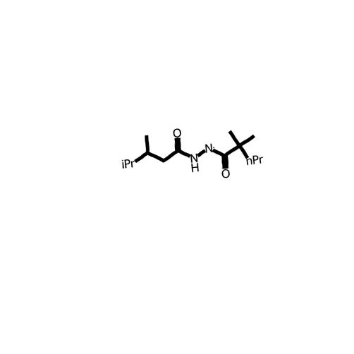 CCCC(C)(C)C(=O)[N]NC(=O)CC(C)C(C)C